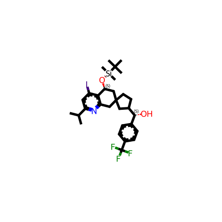 CC(C)c1cc(I)c2c(n1)CC1(CCC([C@H](O)c3ccc(C(F)(F)F)cc3)C1)C[C@@H]2O[Si](C)(C)C(C)(C)C